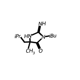 CCC(C)N1C(=N)NC(C)(CC(C)C)C1=O